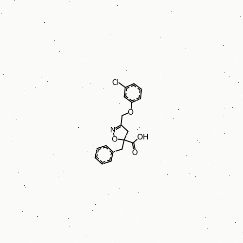 O=C(O)C1(Cc2ccccc2)CC(COc2cccc(Cl)c2)=NO1